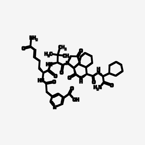 CC(C)(C)[C@H](NC(=O)[C@H](CC/C=C/C(N)=O)NC(=O)Cc1cncc(C(=O)O)c1)C(=O)N1CC(=O)C[C@H]1C(=O)N[C@H](C(=O)N[C@H](C(N)=O)C1CCCCC1)C1CCCCC1